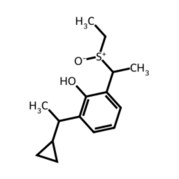 CC[S+]([O-])C(C)c1cccc(C(C)C2CC2)c1O